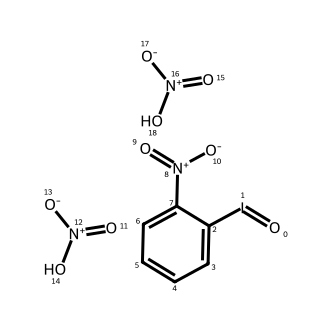 O=Ic1ccccc1[N+](=O)[O-].O=[N+]([O-])O.O=[N+]([O-])O